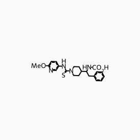 COc1ccc(NC(=S)N2CCC(C(Cc3ccccc3)NC(=O)O)CC2)cn1